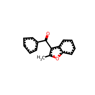 Cc1oc2ccccc2c1C(=O)c1ccccc1